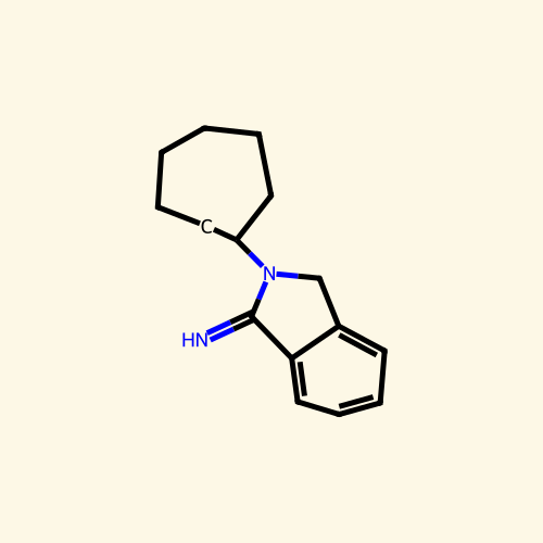 N=C1c2ccccc2CN1C1CCCCCC1